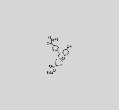 CCN(CC)C(=O)c1ccc(C2=CC3(CCCN(C(=O)OC(C)(C)C)CC3)Oc3ccc(O)cc32)cc1